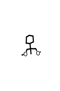 COCC(C)(COC)C1CCCCC1